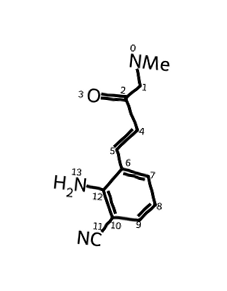 CNCC(=O)C=Cc1cccc(C#N)c1N